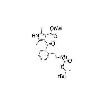 COC(=O)c1c(C)[nH]c(C)c1C(=O)c1ccccc1CCNC(=O)OC(C)C(C)(C)C